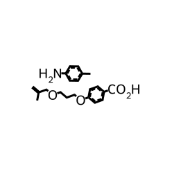 C=C(C)COCCCOc1ccc(C(=O)O)cc1.Cc1ccc(N)cc1